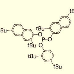 CC(C)(C)c1ccc(OP(Oc2cc3ccc(C(C)(C)C)cc3cc2C(C)(C)C)Oc2cc3ccc(C(C)(C)C)cc3cc2C(C)(C)C)c(C(C)(C)C)c1